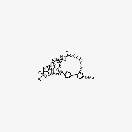 COc1ccc2c(c1)CCCC(C)(C)CCOC(=O)N[C@@H](C(C)(C)C)C(=O)N1C[C@@](OC)(C[C@H]1C(=O)N[C@]1(C(=O)NS(=O)(=O)C3CC3)C[C@@H]1C1CC1)c1ccc-2cc1